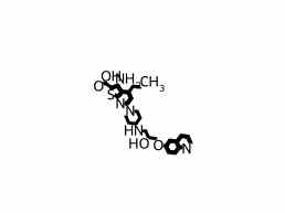 CCCc1cc(N2CCC(NCC(O)COc3ccc4ncccc4c3)CC2)nc2sc(C(=O)O)c(N)c12